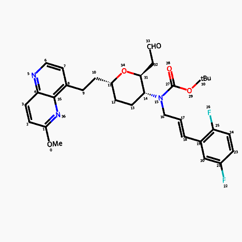 COc1ccc2nccc(CC[C@H]3CC[C@@H](N(C/C=C/c4cc(F)ccc4F)C(=O)OC(C)(C)C)[C@H](CC=O)O3)c2n1